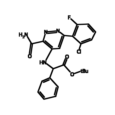 CC(C)(C)OC(=O)C(Nc1cc(-c2c(F)cccc2Cl)nnc1C(N)=O)c1ccccc1